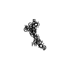 COc1ccc2c(c1)CCN(C1CCN(C(=O)Cn3cc(-c4cccc(F)c4Cl)c(=O)n(C(C)C[S+](C)[O-])c3=O)CC1)C(=O)N2